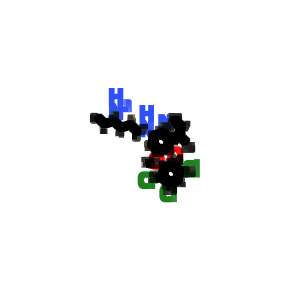 CCC(N)CCCNc1cc(OC)c(Oc2cc(Cl)c(Cl)cc2Cl)c2c(C)ccnc12